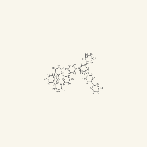 c1ccc(-c2ccc(-c3nc(-c4cccnc4)cc(-c4cccc(-c5cccc6c5-c5ccccc5C6(c5ccccc5)c5ccccc5)c4)n3)cc2)cc1